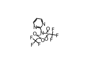 O=S(=O)(N(c1ncccn1)S(=O)(=O)C(F)(F)F)C(F)(F)F